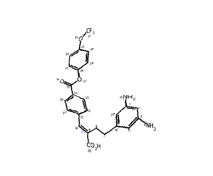 Nc1cc(N)cc(CC/C(=C\c2ccc(C(=O)Oc3ccc(OC(F)(F)F)cc3)cc2)C(=O)O)c1